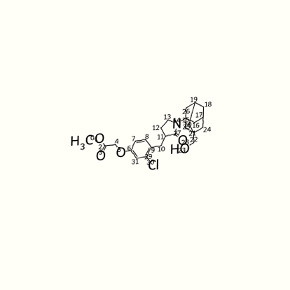 COC(=O)COc1ccc(CC2CCN(C34CC5CC(CC(CO)(C5)C3)C4)C2=O)c(Cl)c1